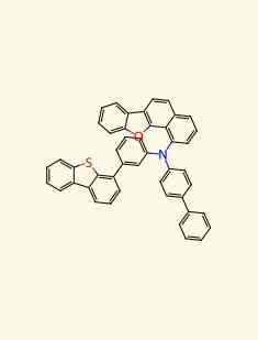 c1ccc(-c2ccc(N(c3cccc(-c4cccc5c4sc4ccccc45)c3)c3cccc4ccc5c6ccccc6oc5c34)cc2)cc1